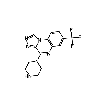 FC(F)(F)c1ccc2c(c1)nc(N1CCNCC1)c1nncn12